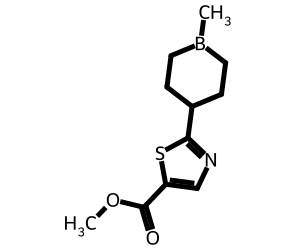 COC(=O)c1cnc(C2CCB(C)CC2)s1